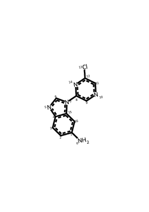 Nc1ccc2ncn(-c3cncc(Cl)n3)c2c1